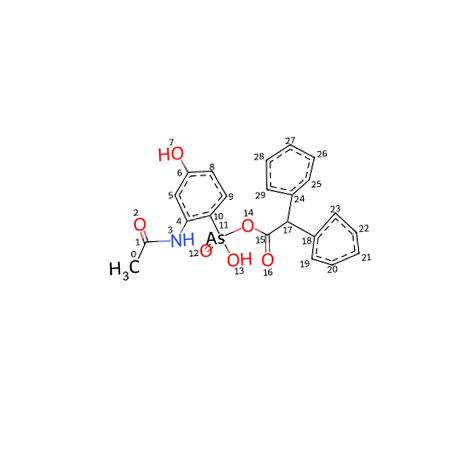 CC(=O)Nc1cc(O)ccc1[As](=O)(O)OC(=O)C(c1ccccc1)c1ccccc1